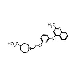 Cc1cc(Nc2cccc(OCCN3CCCC(C(=O)O)CC3)c2)c2ccccc2n1